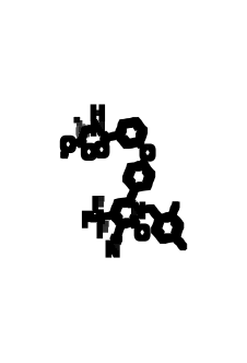 COC(=O)[C@H](C)NC(=O)c1cccc(Oc2ccc(-c3cc(C(F)(F)F)c(C#N)c(=O)n3Cc3ccc(C)cc3C)cc2)c1